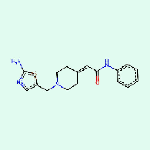 Nc1ncc(CN2CCC(=CC(=O)Nc3ccccc3)CC2)s1